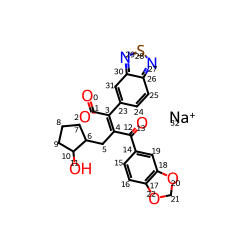 O=C([O-])C(=C(CC1CCCC1O)C(=O)c1ccc2c(c1)OCO2)c1ccc2nsnc2c1.[Na+]